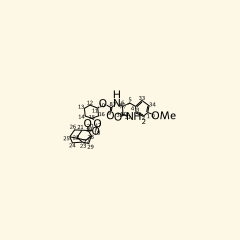 COc1ccc(C[C@H](NC(=O)OC2CCCC3(C2)OOC2(O3)C3CC4CC(C3)CC2C4)C(N)=O)cc1